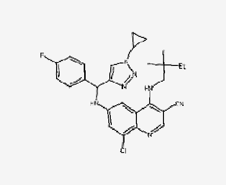 CCC(C)(C)CNc1c(C#N)cnc2c(Cl)cc(NC(c3ccc(F)cc3)c3cn(C4CC4)nn3)cc12